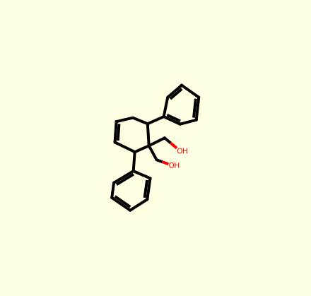 OCC1(CO)C(c2ccccc2)C=CCC1c1ccccc1